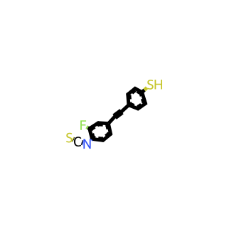 Fc1cc(C#Cc2ccc(S)cc2)ccc1N=C=S